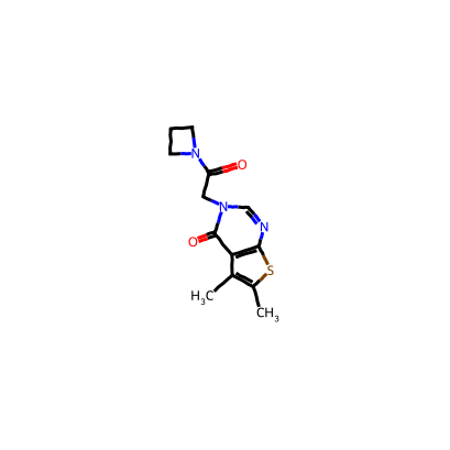 Cc1sc2ncn(CC(=O)N3CCC3)c(=O)c2c1C